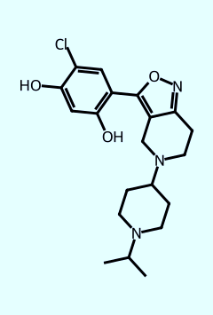 CC(C)N1CCC(N2CCc3noc(-c4cc(Cl)c(O)cc4O)c3C2)CC1